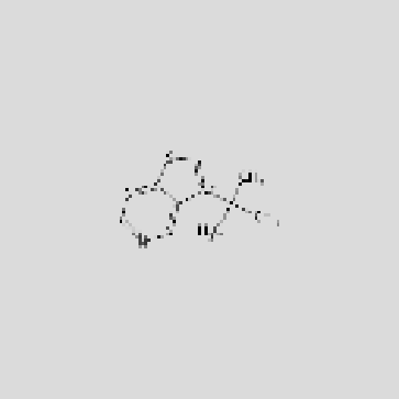 CC(C)(C)[n+]1csc2ncncc21